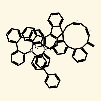 C=C1/C=C\C=C/CC2(c3cc(N(c4cccc(-c5ccccc5)c4)c4cccc5c4N(c4ccccc4)c4ccccc4-c4ccccc4-5)ccc3-c3ccccc31)c1ccccc1-c1c2ccc2oc3ccccc3c12